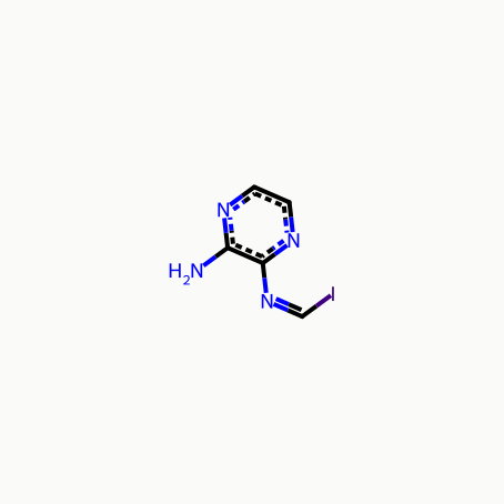 Nc1nccnc1/N=C\I